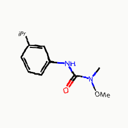 CON(C)C(=O)Nc1cccc(C(C)C)c1